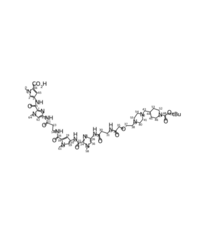 Cn1cc(NC(=O)c2nc(NC(=O)CCNC(=O)c3cc(NC(=O)c4nc(NC(=O)CCNC(=O)COCCN5CCN(CC6CCN(C(=O)OC(C)(C)C)CC6)CC5)cn4C)cn3C)cn2C)cc1C(=O)O